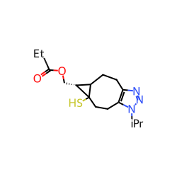 CCC(=O)OC[C@@H]1C2CCc3nnn(C(C)C)c3CCC21S